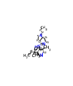 C=CCn1ccc2c(Nc3c(C)cncc3C(C)(C)C=C)nccc21